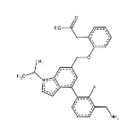 CC(C)n1ccc2c(-c3cccc(CN)c3F)cc(COc3ccccc3CC(=O)O)cc21